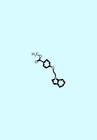 COC(=O)c1ccc(OCCn2ccc3ccccc32)cc1